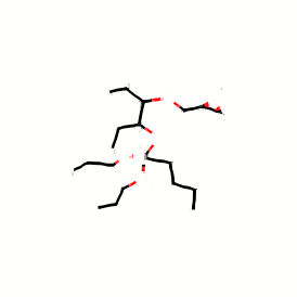 CCCC[Si](OCCC)(OCCC)OC(CC)C(CC)OCC1CO1